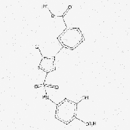 CC(C)OC(=O)c1cccc(-c2cc(S(=O)(=O)Nc3ccc(C(=O)O)c(O)c3)sc2Cl)c1